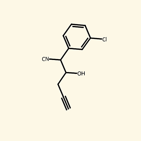 [C-]#[N+]C(c1cccc(Cl)c1)C(O)CC#C